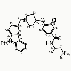 CCn1c2ccccc2c2cc(CN3CCC(Oc4ccc(C(=O)NC(C)CN(C)C)cc4Cl)CC3)ccc21